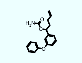 C=CCCC(OC(N)=O)c1cccc(Oc2ccccc2)c1